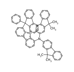 CC1(C)c2ccccc2-c2ccc(N(c3ccc4c(c3)C(C)(C)c3ccccc3-4)c3cccc4c3oc3c(C5(c6ccccc6)c6ccccc6-c6ccccc65)cccc34)cc21